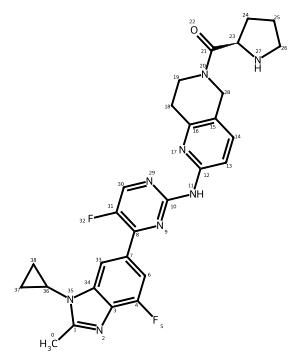 Cc1nc2c(F)cc(-c3nc(Nc4ccc5c(n4)CCN(C(=O)[C@H]4CCCN4)C5)ncc3F)cc2n1C1CC1